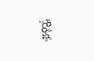 CC(Cc1ccc(N2CC(=O)NS2(=O)=O)c(O)c1)c1ccccc1N